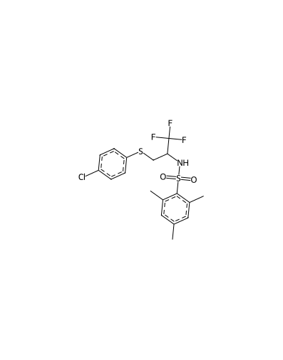 Cc1cc(C)c(S(=O)(=O)NC(CSc2ccc(Cl)cc2)C(F)(F)F)c(C)c1